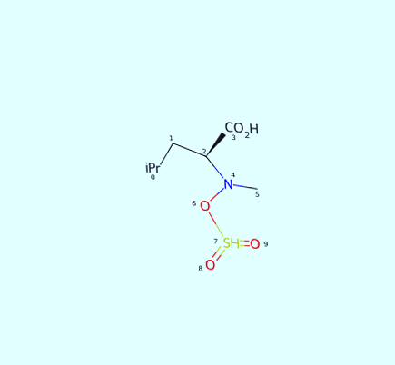 CC(C)C[C@@H](C(=O)O)N(C)O[SH](=O)=O